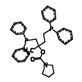 CC(CCP(c1ccccc1)c1ccccc1)(CP(c1ccccc1)c1ccccc1)OC(=O)N1CCCC1